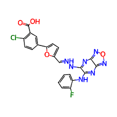 O=C(O)c1cc(-c2ccc(/C=N/Nc3nc4nonc4nc3Nc3ccccc3F)o2)ccc1Cl